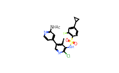 CC(=O)Nc1cc(-c2cnc(Cl)c(NS(=O)(=O)c3ccc(C4CC4)cc3F)c2C)ccn1